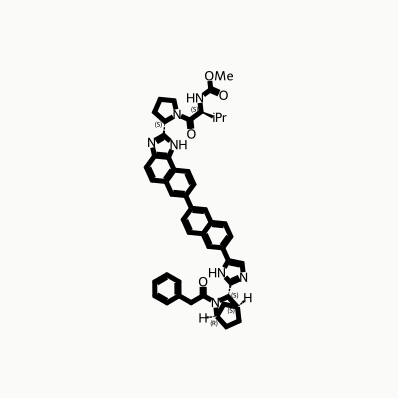 COC(=O)N[C@H](C(=O)N1CCC[C@H]1c1nc2ccc3cc(-c4ccc5cc(-c6cnc([C@@H]7[C@H]8CC[C@H](C8)N7C(=O)Cc7ccccc7)[nH]6)ccc5c4)ccc3c2[nH]1)C(C)C